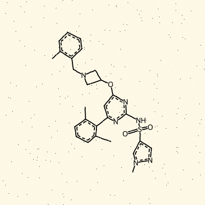 Cc1ccccc1CN1CC(Oc2cc(-c3c(C)cccc3C)nc(NS(=O)(=O)c3cnn(C)c3)n2)C1